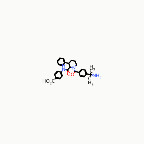 CC(C)(N)c1ccc(C(=O)N2CCCC(c3ccccc3)C2C(=O)Nc2ccc(C(=O)O)cc2)cc1